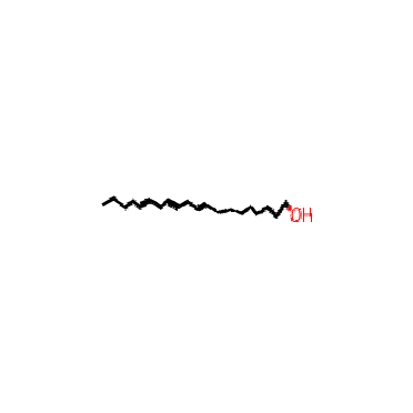 CCCCC=CCC=CCC=CCCCCCCCCO